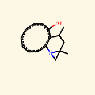 CC1CC2(C)CN2c2cccccccc(O)c21